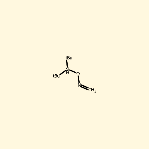 C=NO[SiH](C(C)(C)C)C(C)(C)C